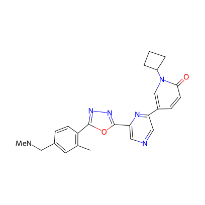 CNCc1ccc(-c2nnc(-c3cncc(-c4ccc(=O)n(C5CCC5)c4)n3)o2)c(C)c1